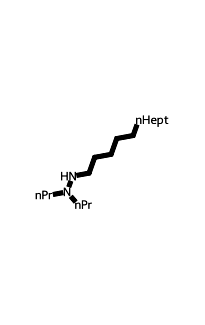 CCCCCCCCCCCCNN(CCC)CCC